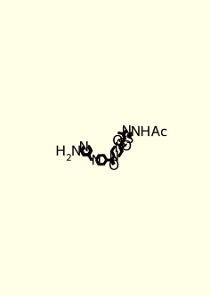 CC(=O)Nc1nc(C)c(S(=O)(=O)N2CCN(C(=O)C3CCN(Cc4ccnc(N)c4)CC3)CC2)s1